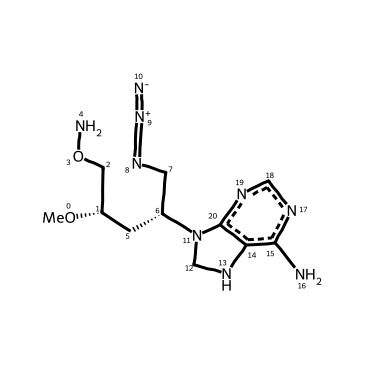 CO[C@H](CON)C[C@H](CN=[N+]=[N-])N1CNc2c(N)ncnc21